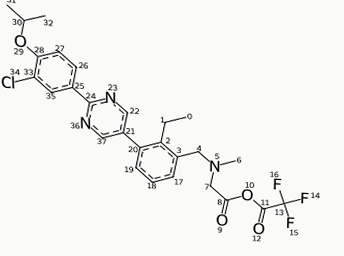 CCc1c(CN(C)CC(=O)OC(=O)C(F)(F)F)cccc1-c1cnc(-c2ccc(OC(C)C)c(Cl)c2)nc1